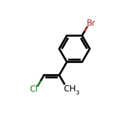 C/C(=C\Cl)c1ccc(Br)cc1